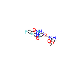 CC(C)C[C@@H](NCCCOc1cc(F)c(-n2c(N)c(C(=O)c3ccc(F)cc3F)ccc2=O)c(F)c1)C(=O)OC(C)(C)C